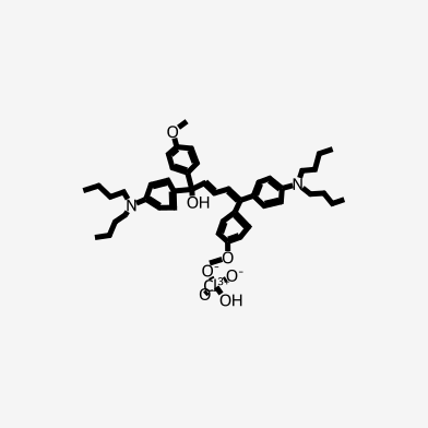 CCCCN(CCCC)c1ccc(C(=CC=CC(O)(c2ccc(OC)cc2)c2ccc(N(CCCC)CCCC)cc2)c2ccc(OC)cc2)cc1.[O-][Cl+3]([O-])([O-])O